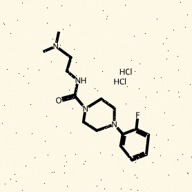 CN(C)CCNC(=O)N1CCN(c2ccccc2F)CC1.Cl.Cl